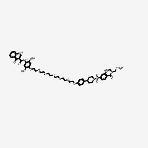 CC(C)(C)c1cc(OCCOCCOCCOCCOCCOCCOc2ccc(C3CCN(S(=O)(=O)c4ccc5c(c4)NCN(CC(=O)O)C5=O)CC3)cc2)c(O)cc1NC(=O)c1c[nH]c2ccccc2c1=O